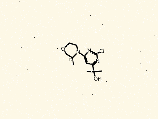 C[C@H]1COCCN1c1cc(C(C)(C)O)nc(Cl)n1